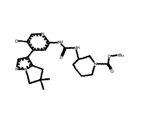 CC1(C)Cc2c(-c3cc(NC(=O)NC4CCCN(C(=O)OC(C)(C)C)C4)ncc3Cl)cnn2C1